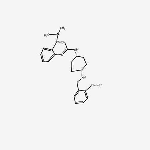 CCOc1ccccc1CN[C@H]1CC[C@@H](Nc2nc(N(C)C)c3ccccc3n2)CC1